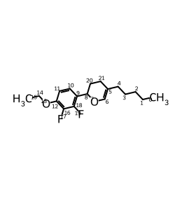 CCCCCC1=COC(c2ccc(OCC)c(F)c2F)CC1